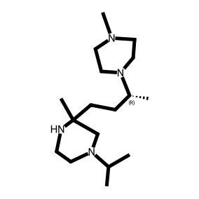 CC(C)N1CCNC(C)(CC[C@@H](C)N2CCN(C)CC2)C1